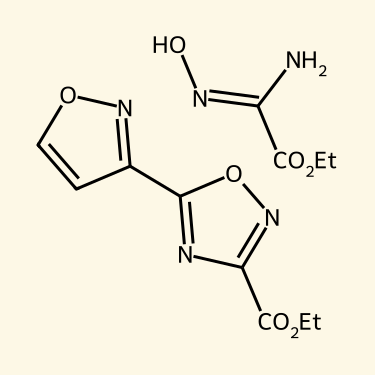 CCOC(=O)C(N)=NO.CCOC(=O)c1noc(-c2ccon2)n1